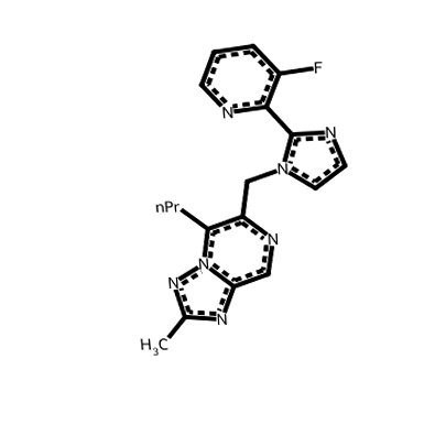 CCCc1c(Cn2ccnc2-c2ncccc2F)ncc2nc(C)nn12